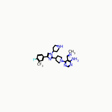 C/N=C/c1c(N)ncnc1N1CCC(c2nc(-c3ccc(F)c(C(F)(F)F)c3)cn2C2CCNCC2)CC1